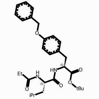 CCC(=O)N[C@@H](CC(C)C)C(=O)N[C@@H](Cc1ccc(OCc2ccccc2)cc1)C(=O)OC(C)(C)C